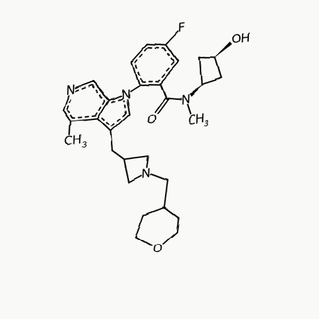 Cc1cncc2c1c(CC1CN(CC3CCOCC3)C1)cn2-c1ccc(F)cc1C(=O)N(C)[C@H]1C[C@@H](O)C1